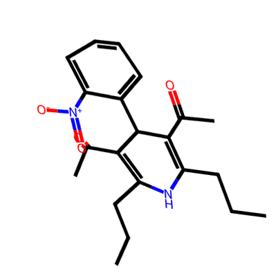 CCCC1=C(C(C)=O)C(c2ccccc2[N+](=O)[O-])C(C(C)=O)=C(CCC)N1